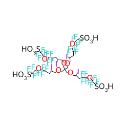 O=S(=O)(O)C(F)(F)C(F)(F)OC(F)(F)C(F)(F)CC(I)COCC(COCC(I)CC(F)(F)C(F)(F)OC(F)(F)C(F)(F)S(=O)(=O)O)(COCC(I)CC(F)(F)C(F)(F)OC(F)(F)C(F)(F)S(=O)(=O)O)COCC(I)CC(F)(F)C(F)(F)OC(F)(F)C(F)(F)S(=O)(=O)O